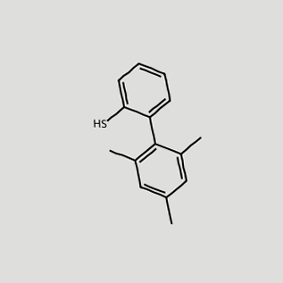 Cc1cc(C)c(-c2ccccc2S)c(C)c1